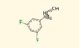 C#C.CCCCc1cc(F)cc(F)c1